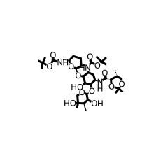 CC1CC[C@@H](CNC(=O)OC(C)(C)C)O[C@@H]1OC1C(O)C(O[C@H]2OCC(C)(O)[C@H](C)C2O)[C@H](NC(=O)[C@H]2OC(C)(C)OC[C@H]2C)C[C@@H]1NC(=O)OC(C)(C)C